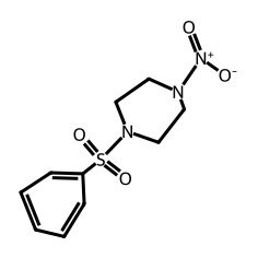 O=[N+]([O-])N1CCN(S(=O)(=O)c2ccccc2)CC1